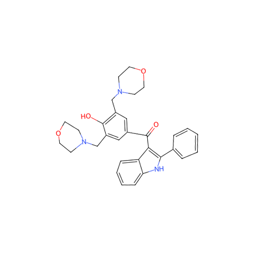 O=C(c1cc(CN2CCOCC2)c(O)c(CN2CCOCC2)c1)c1c(-c2ccccc2)[nH]c2ccccc12